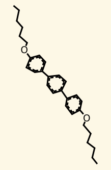 CCCCCCOc1ccc(-c2ccc(-c3ccc(OCCCCCC)cc3)cc2)cc1